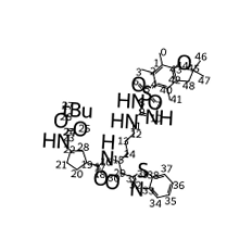 Cc1c(C)c(S(=O)(=O)NC(=N)NCCC[C@H](NC(=O)[C@H]2CC[C@@H](NC(=O)OC(C)(C)C)C2)C(=O)c2nc3ccccc3s2)c(C)c2c1OC(C)(C)C2